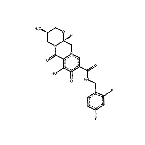 C[C@H]1CO[C@@H]2Cn3cc(C(=O)NCc4ccc(F)cc4F)c(=O)c(O)c3C(=O)N2C1